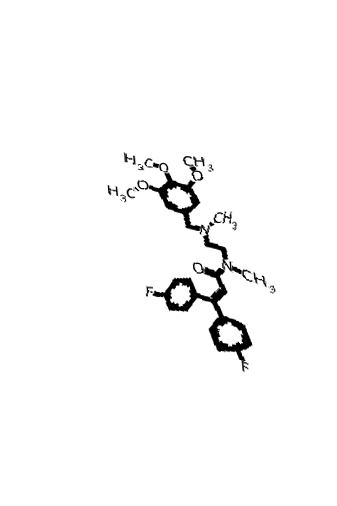 COc1cc(CN(C)CCN(C)C(=O)C=C(c2ccc(F)cc2)c2ccc(F)cc2)cc(OC)c1OC